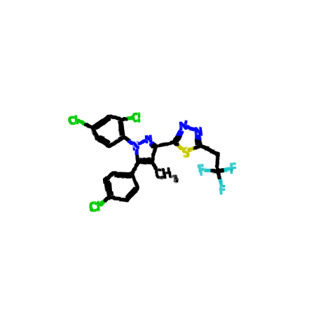 Cc1c(-c2nnc(CC(F)(F)F)s2)nn(-c2ccc(Cl)cc2Cl)c1-c1ccc(Cl)cc1